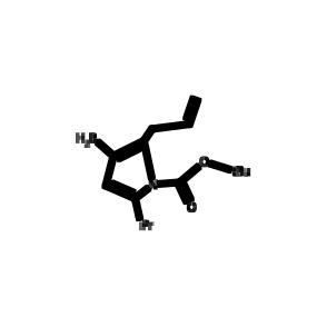 Bc1cc(C(C)C)n(C(=O)OC(C)(C)C)c1CC=C